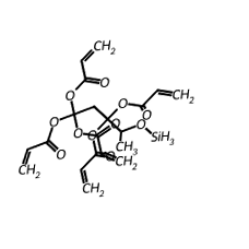 C=CC(=O)OC(CC(OC(=O)C=C)(OC(=O)C=C)C(C)O[SiH3])(OC(=O)C=C)OC(=O)C=C